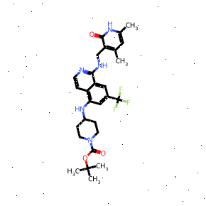 Cc1cc(C)c(CNc2nccc3c(NC4CCN(C(=O)OC(C)(C)C)CC4)cc(C(F)(F)F)cc23)c(=O)[nH]1